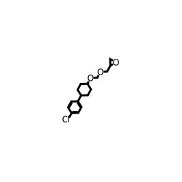 Clc1ccc(C2CCC(OCOCC3CO3)CC2)cc1